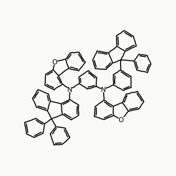 c1ccc(C2(c3cccc(N(c4cccc(N(c5cccc6c5-c5ccccc5C6(c5ccccc5)c5ccccc5)c5cccc6oc7ccccc7c56)c4)c4cccc5oc6ccccc6c45)c3)c3ccccc3-c3ccccc32)cc1